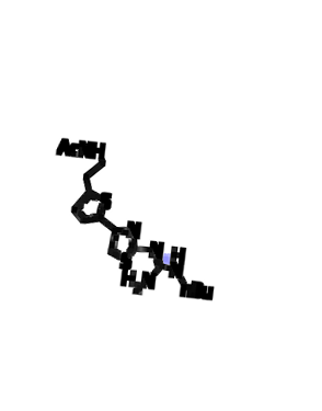 CCCCN/C(N)=N/c1nc(-c2ccc(CCNC(C)=O)s2)cs1